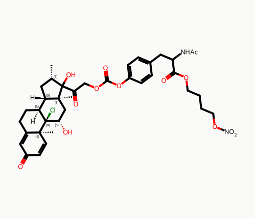 CC(=O)NC(Cc1ccc(OC(=O)OCC(=O)C2(O)[C@@H](C)C[C@H]3[C@@H]4CCC5=CC(=O)C=C[C@]5(C)[C@@]4(Cl)[C@@H](O)C[C@@]32C)cc1)C(=O)OCCCCO[N+](=O)[O-]